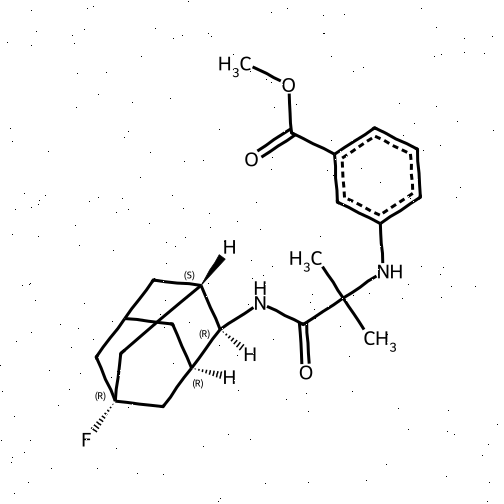 COC(=O)c1cccc(NC(C)(C)C(=O)N[C@H]2[C@@H]3CC4C[C@H]2C[C@](F)(C4)C3)c1